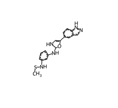 CSNc1cccc(NC2NC=C(c3ccc4[nH]ncc4c3)O2)c1